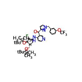 CC(C)(C)[Si](C)(C)OC[C@H]1C[C@@H](Nc2ccncc2C(=O)c2ccn(Cc3cccc(OC(F)(F)F)c3)n2)[C@@H](F)[C@@H]1O[Si](C)(C)C(C)(C)C